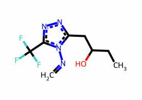 C=Nn1c(CC(O)CC)nnc1C(F)(F)F